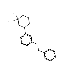 COC1(OC)CCCC(c2cccc(OCc3ccccc3)c2)C1